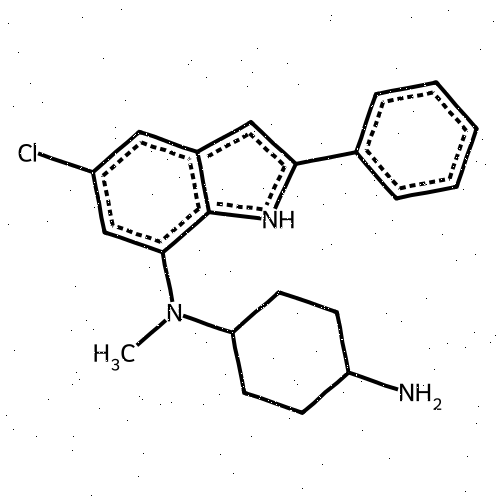 CN(c1cc(Cl)cc2cc(-c3ccccc3)[nH]c12)C1CCC(N)CC1